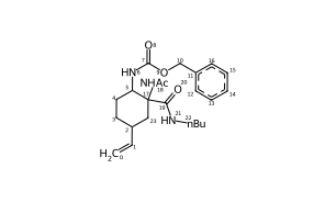 C=CC1CCC(NC(=O)OCc2ccccc2)C(NC(C)=O)(C(=O)NCCCC)C1